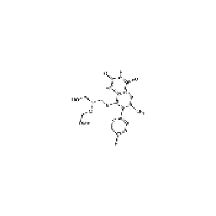 COCO[C@@H](CO)CSc1c(-c2ccc(F)cc2)c(C(F)(F)F)cc2c(=O)[nH]c(=O)[nH]c12